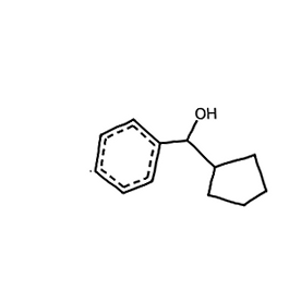 OC(c1cc[c]cc1)C1CCCC1